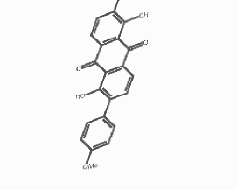 COc1ccc(-c2ccc3c(c2O)C(=O)c2ccc(I)c(O)c2C3=O)cc1